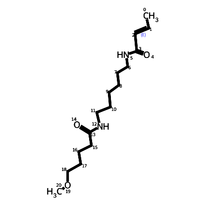 C/C=C/C(=O)NCCCCCCNC(=O)CCCCOC